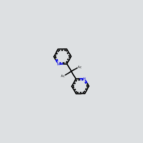 CC(=O)C(C(C)=O)(c1ccccn1)c1ccccn1